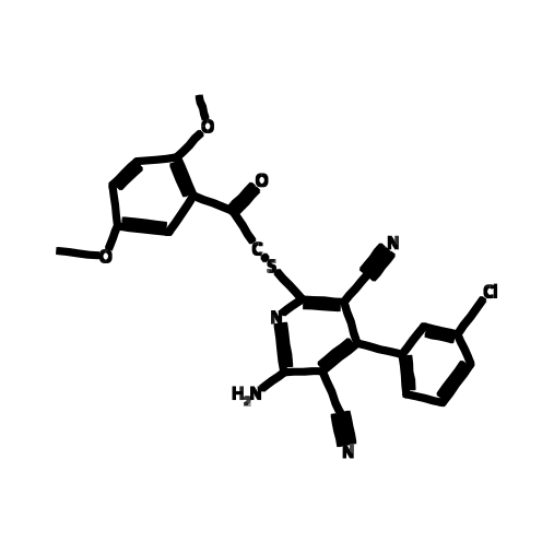 COc1ccc(OC)c(C(=O)CSc2nc(N)c(C#N)c(-c3cccc(Cl)c3)c2C#N)c1